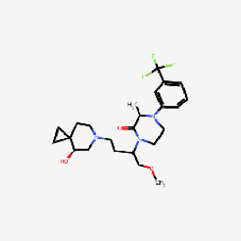 COCC(CCN1CCC2(CC2)[C@H](O)C1)N1CCN(c2cccc(C(F)(F)F)c2)C(C)C1=O